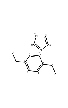 CCc1ccc(CC)cc1.c1c[nH]cn1